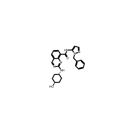 O=C(Nc1ccnn1Cc1ccccc1)c1cccc2cnc(N[C@H]3CC[C@H](O)CC3)nc12